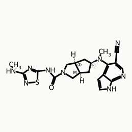 CNc1nsc(NC(=O)N2C[C@H]3C[C@@H](N(C)c4c(C#N)cnc5[nH]ccc45)C[C@H]3C2)n1